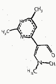 Cc1cc(C(C=O)=CN(C)C)nc(C)n1